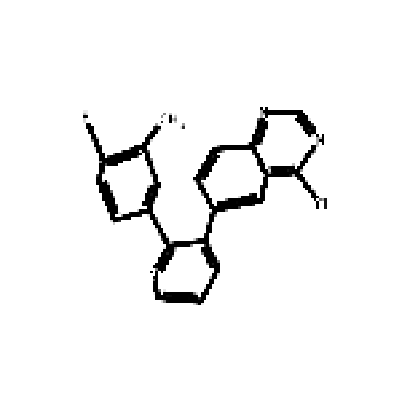 Cc1cc(-c2ncccc2-c2ccc3ncnc(Cl)c3c2)ccc1F